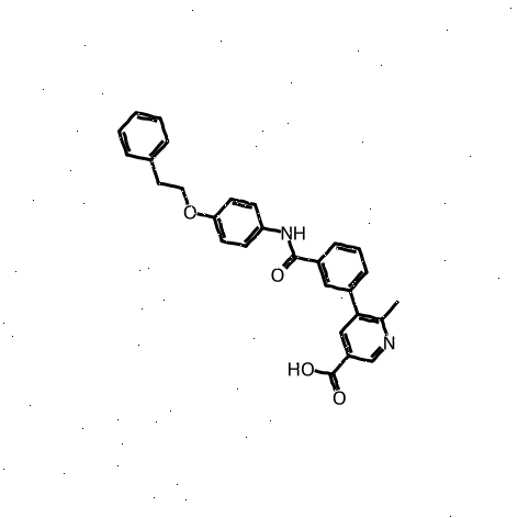 Cc1ncc(C(=O)O)cc1-c1cccc(C(=O)Nc2ccc(OCCc3ccccc3)cc2)c1